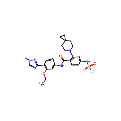 CCS(=O)(=O)Nc1ccc(C(=O)Nc2ccc(-c3ncn(C)n3)c(OCC(F)(F)F)c2)c(N2CCC3(CC2)CC3)c1